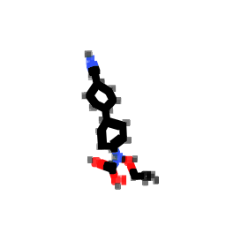 CCON(C(=O)O)c1ccc(C2CCC(C#N)CC2)cc1